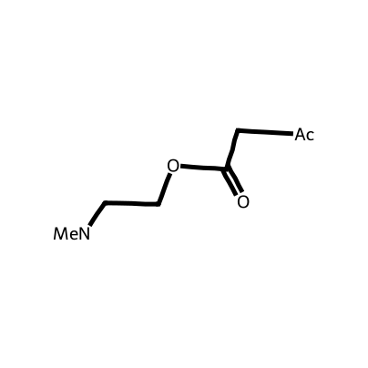 CNCCOC(=O)CC(C)=O